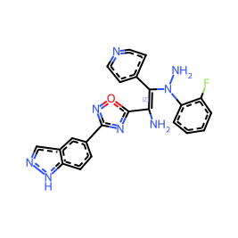 N/C(=C(/c1ccncc1)N(N)c1ccccc1F)c1nc(-c2ccc3[nH]ncc3c2)no1